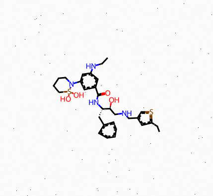 CCNc1cc(C(=O)N[C@@H](Cc2ccccc2)[C@@H](O)CNCc2csc(CC)c2)cc(N2CCCCS2(O)O)c1